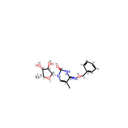 CC[C@H]1O[C@@H](n2cc(C)/c(=N/OCc3ccccc3)[nH]c2=O)C(O)C1O